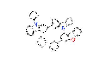 c1ccc(-c2cccc(-c3cc(-n4c5ccccc5c5ccc(-c6ccc7c8ccccc8n(-c8ccccc8)c7c6)cc54)c4c(c3)oc3ccccc34)c2)cc1